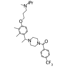 Cc1c(OCCCN(C)C(C)C)ccc(C(C)N2CCN(C(=O)c3ccc(C(F)(F)F)cc3)CC2)c1C